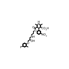 CC1=C(C(=O)O)C(c2cccc([N+](=O)[O-])c2)C(C(=O)OCCCNCC(O)COc2ccc(F)cc2C)=C(C)N1